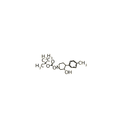 Cc1ccc(C2CCN(OC(=O)OC(C)(C)C)CC2O)cc1